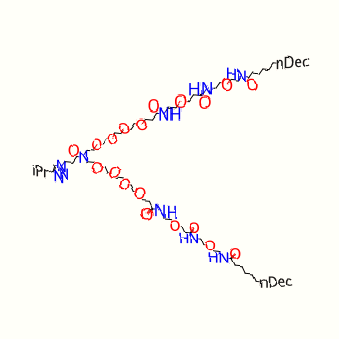 CCCCCCCCCCCCCCCC(=O)NCCOCCNC(=O)CCOCCNC(=O)CCOCCOCCOCCOCCN(CCOCCOCCOCCOCCC(=O)NCCOCCC(=O)NCCOCCNC(=O)CCCCCCCCCCCCCCC)C(=O)CCn1cc(C(C)C)nn1